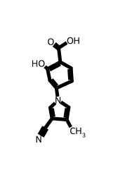 Cc1cn(-c2ccc(C(=O)O)c(O)c2)cc1C#N